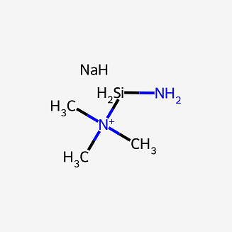 C[N+](C)(C)[SiH2]N.[NaH]